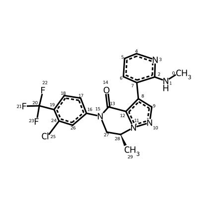 CNc1ncccc1-c1cnn2c1C(=O)N(c1ccc(C(F)(F)F)c(Cl)c1)C[C@@H]2C